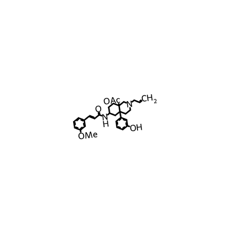 C=CCN1CCC2(c3cccc(O)c3)CC(NC(=O)/C=C/c3cccc(OC)c3)CCC2(OC(C)=O)C1